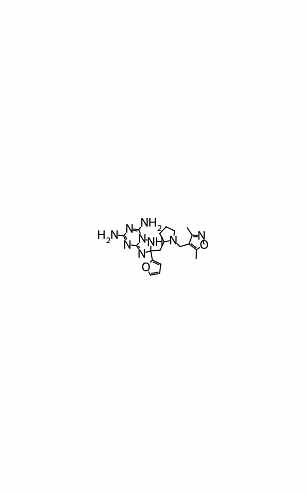 Cc1noc(C)c1CN1CCCC1CC1(c2ccco2)N=C2N=C(N)N=C(N)N2N1